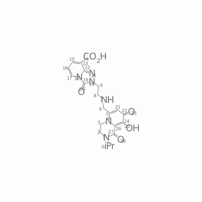 CC(C)N1CCn2c(CNCCn3nc4c(C(=O)O)cccn4c3=O)cc(=O)c(O)c2C1=O